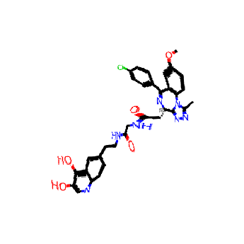 COc1ccc2c(c1)C(c1ccc(Cl)cc1)=N[C@@H](CC(=O)NCC(=O)NCCc1ccc3ncc(O)c(O)c3c1)c1nnc(C)n1-2